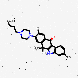 CCOC(=O)CCCN1CCN(c2cc3c(cc2CC)C(=O)c2c([nH]c4cc(C#N)ccc24)C3(C)C)CC1